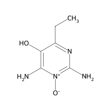 CCc1nc(N)[n+]([O-])c(N)c1O